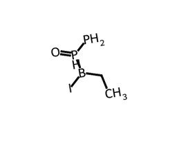 CCB(I)[PH](=O)P